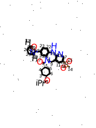 CC(C)O[C@H]1CC[C@H](C(=O)N2Cc3cc(S(C)(=O)=O)cnc3Nc3ccc(N4C[C@@H]5CC[C@H]4CO5)cc32)CC1